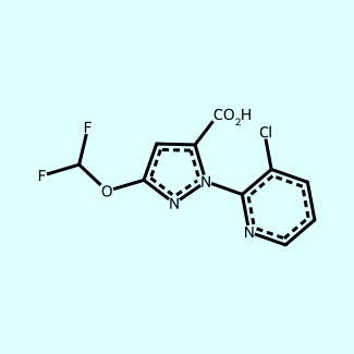 O=C(O)c1cc(OC(F)F)nn1-c1ncccc1Cl